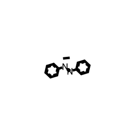 CC.c1ccc(N=Nc2ccccc2)cc1